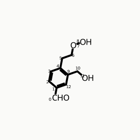 O=Cc1ccc(CCOO)c(CO)c1